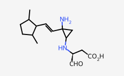 CC1CCC(C)C1C=CC1(N)CC1N[C@H](C=O)CC(=O)O